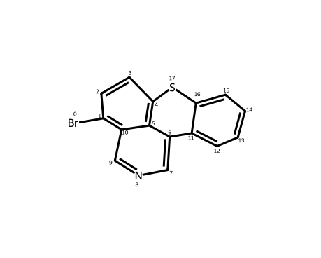 Brc1ccc2c3c(cncc13)-c1ccccc1S2